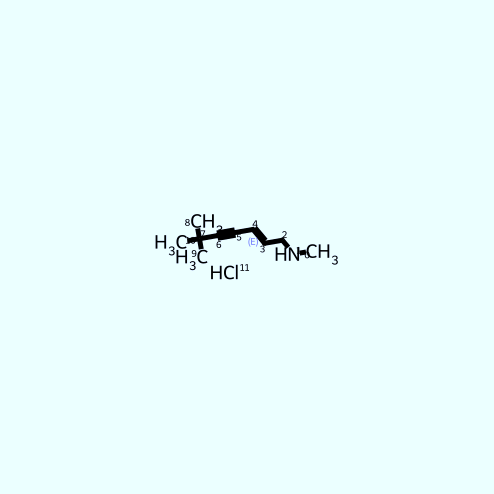 CNC/C=C/C#CC(C)(C)C.Cl